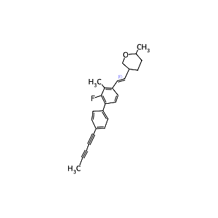 CC#CC#Cc1ccc(-c2ccc(/C=C/C3CCC(C)OC3)c(C)c2F)cc1